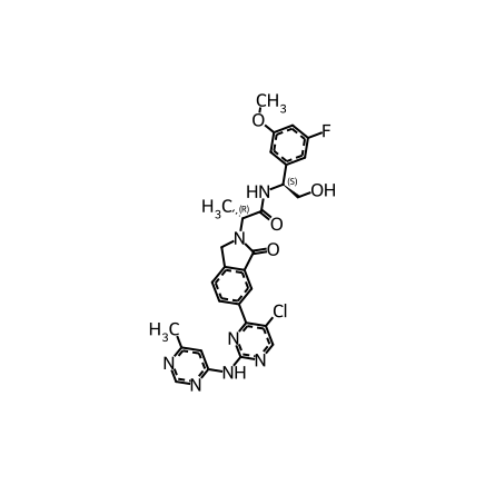 COc1cc(F)cc([C@@H](CO)NC(=O)[C@@H](C)N2Cc3ccc(-c4nc(Nc5cc(C)ncn5)ncc4Cl)cc3C2=O)c1